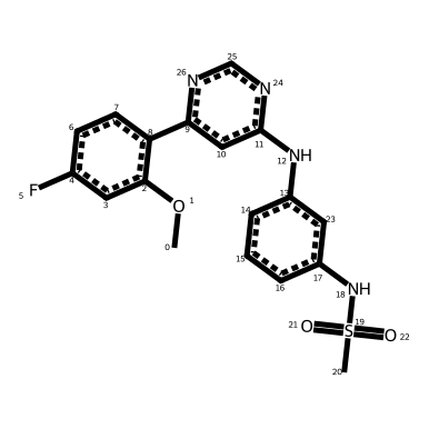 COc1cc(F)ccc1-c1cc(Nc2cccc(NS(C)(=O)=O)c2)ncn1